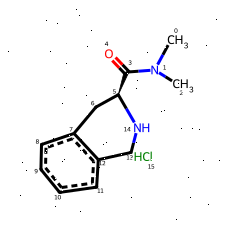 CN(C)C(=O)[C@@H]1Cc2ccccc2CN1.Cl